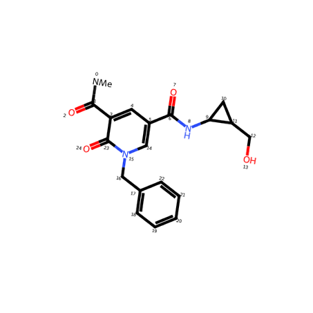 CNC(=O)c1cc(C(=O)NC2CC2CO)cn(Cc2ccccc2)c1=O